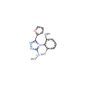 COc1cccc(OC)c1-n1c(NSC)nnc1-c1ccco1